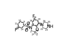 CC1(C)CN(S(=O)(=O)c2cccc(F)c2)c2cc(F)cc(N3CCNCC3)c2O1